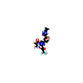 Cc1nc2c(C34CC(C(F)F)(C3)C4)nc([C@@H]3CCO[C@H](c4cnn(C5CC5)c4)C3)cn2c(=O)c1C